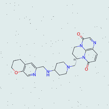 O=c1cnc2ccc(=O)n3c2n1CC[C@H]3CN1CCC(NCc2cc3c(cn2)OCCC3)CC1